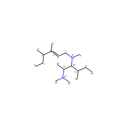 CCC(C)/C(C)=C/CN(C)C(C(C)CC)C(C)N(C)C